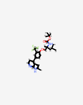 Cc1cc2c(-c3ccc(OCC(C)(CC(C)C)NC(=O)OC(C)(C)C)c(C(F)(F)F)c3)ccnc2[nH]1